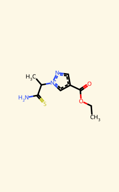 CCOC(=O)c1cnn(C(C)C(N)=S)c1